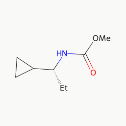 CC[C@@H](NC(=O)OC)C1CC1